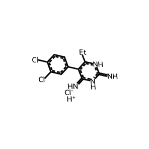 CCc1[nH]c(=N)[nH]c(=N)c1-c1ccc(Cl)c(Cl)c1.[Cl-].[H+]